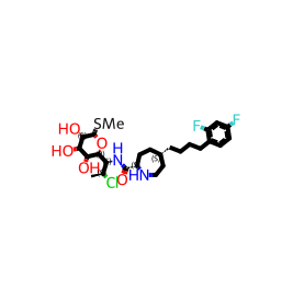 CSC1O[C@H]([C@H](NC(=O)[C@@H]2CC[C@H](CCCCc3ccc(F)cc3F)CCN2)[C@H](C)Cl)C(O)C(O)[C@H]1O